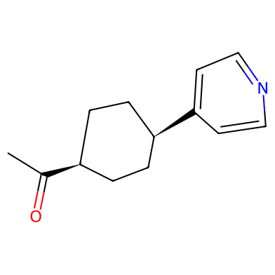 CC(=O)[C@H]1CC[C@@H](c2ccncc2)CC1